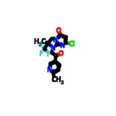 Cc1ccc(C(=O)CN2c3nc(Cl)cc(=O)n3CC2(C)C(F)(F)F)cn1